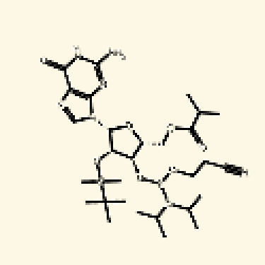 CC(C)C(=O)OC[C@H]1O[C@@H](n2cnc3c(=O)[nH]c(N)nc32)[C@H](O[Si](C)(C)C(C)(C)C)[C@@H]1OP(OCCC#N)N(C(C)C)C(C)C